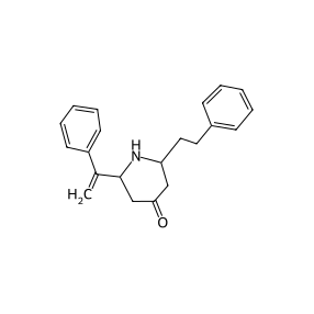 C=C(c1ccccc1)C1CC(=O)CC(CCc2ccccc2)N1